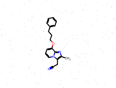 Cc1nc2c(OCCCc3ccccc3)cccn2c1CC#N